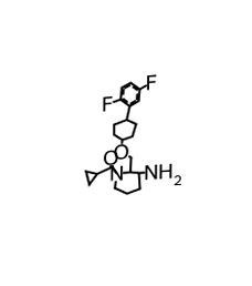 NC1CCCN(C(=O)C2CC2)C1COC1CCC(c2cc(F)ccc2F)CC1